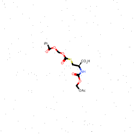 CC(=O)OCOC(=O)N[C@@H](CSC(=O)OCOC(=O)C(C)C)C(=O)O